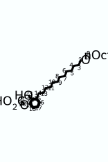 CCCCCCCCOCCCCCCCCCCCCCc1cccc(OC(=O)O)c1O